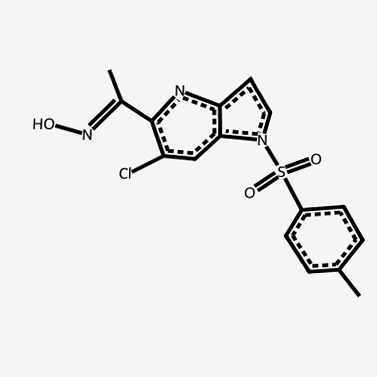 CC(=NO)c1nc2ccn(S(=O)(=O)c3ccc(C)cc3)c2cc1Cl